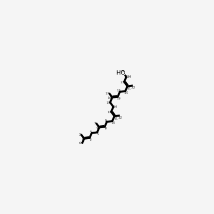 CC(C)=CCC/C(C)=C/CCC(C)=CCCC(C)=CCCC(C)=CCO